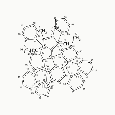 CC1=C(C)C(C)C([Si](c2c(Cc3ccccc3)ccc(C)c2Cc2ccccc2)(c2c(Cc3ccccc3)ccc(C)c2Cc2ccccc2)c2c(Cc3ccccc3)ccc(C)c2Cc2ccccc2)=C1C